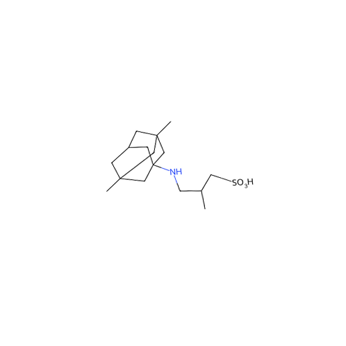 CC(CNC12CC3CC(C)(CC(C)(C3)C1)C2)CS(=O)(=O)O